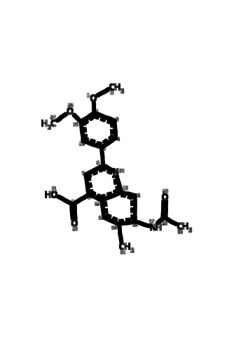 COc1ccc(-c2cc(C(=O)O)c3cc(C)c(NC(C)=O)cc3n2)cc1OC